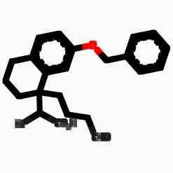 CCC(C(=O)O)C1(CCCC=O)CCCc2ccc(OCc3ccccc3)cc21